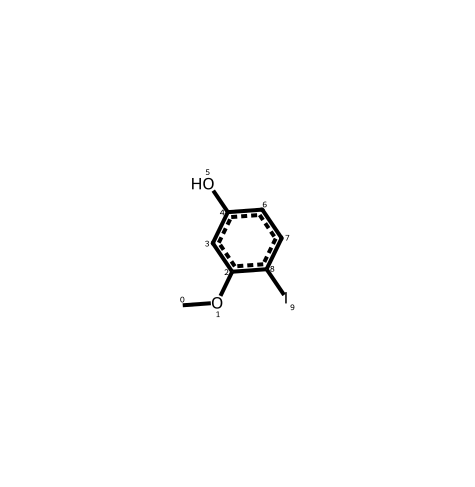 COc1cc(O)ccc1I